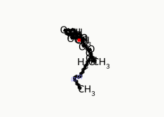 CCCCC/C=C\C/C=C\CCCCCCCCOC(COC(=O)CCC(=O)OCC(=O)[C@@]1(O)CC[C@H]2[C@@H]3CCC4=CC(=O)C=C[C@]4(C)[C@H]3C(=O)C[C@@]21C)CN(C)C